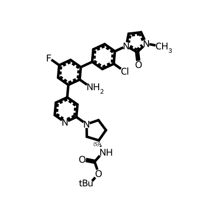 Cn1ccn(-c2ccc(-c3cc(F)cc(-c4ccnc(N5CC[C@H](NC(=O)OC(C)(C)C)C5)c4)c3N)cc2Cl)c1=O